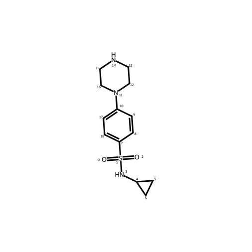 O=S(=O)(NC1CC1)c1ccc(N2CCNCC2)cc1